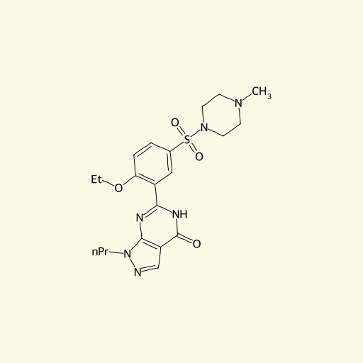 CCCn1ncc2c(=O)[nH]c(-c3cc(S(=O)(=O)N4CCN(C)CC4)ccc3OCC)nc21